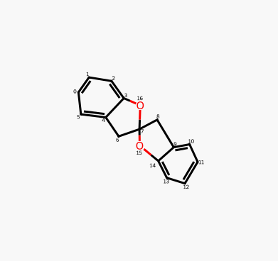 c1ccc2c(c1)CC1(Cc3ccccc3O1)O2